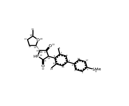 CSc1ccc(-c2cc(C)c(C3C(=O)P[C@H](C4CCC(C)O4)C3=O)c(C)c2)cc1